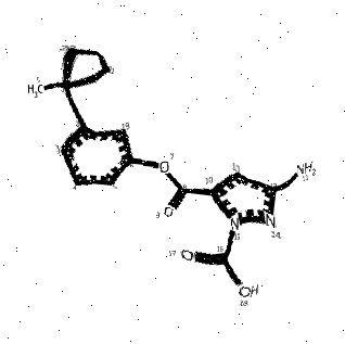 CC1(c2cccc(OC(=O)c3cc(N)nn3C(=O)O)c2)CC1